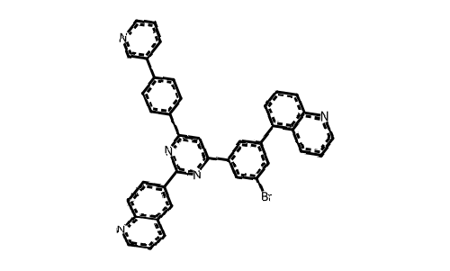 Brc1cc(-c2cc(-c3ccc(-c4cccnc4)cc3)nc(-c3ccc4ncccc4c3)n2)cc(-c2cccc3ncccc23)c1